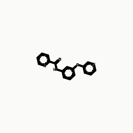 O=C(Nc1cccc(Oc2cccnc2)c1)c1ccccn1